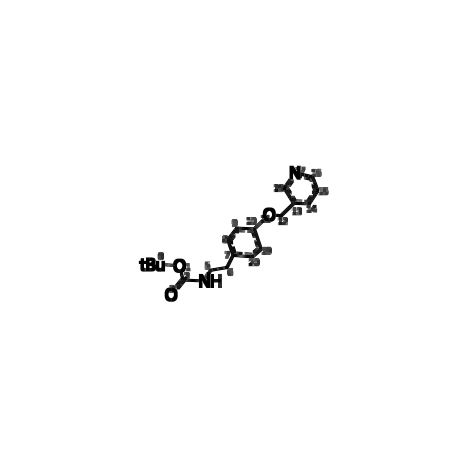 CC(C)(C)OC(=O)NCCc1ccc(OCc2cccnc2)cc1